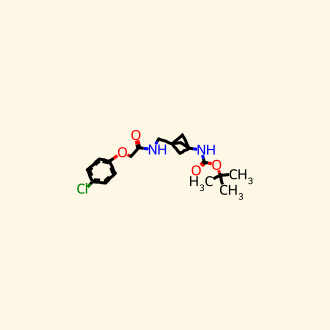 CC(C)(C)OC(=O)NC12CC(CNC(=O)COc3ccc(Cl)cc3)(C1)C2